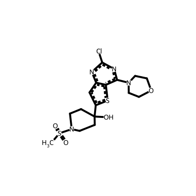 CS(=O)(=O)N1CCC(O)(c2cc3nc(Cl)nc(N4CCOCC4)c3s2)CC1